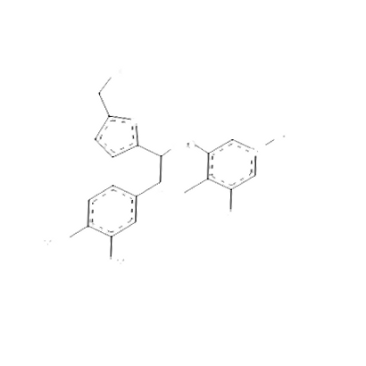 COc1ccc([C@@H](Cc2c(Cl)c[n+](O)cc2Cl)C(C(=O)[O-])c2ccc(CO)s2)cc1OC